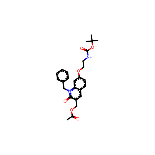 CC(=O)OCc1cc2ccc(OCCNC(=O)OC(C)(C)C)cc2n(Cc2ccccc2)c1=O